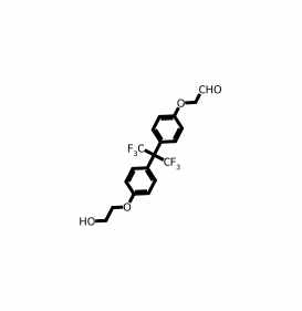 O=CCOc1ccc(C(c2ccc(OCCO)cc2)(C(F)(F)F)C(F)(F)F)cc1